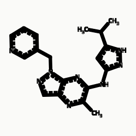 Cc1nc2cnn(Cc3cccnc3)c2nc1Nc1cc(C(C)C)[nH]n1